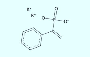 C=C(c1ccccc1)P(=O)([O-])[O-].[K+].[K+]